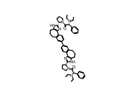 CCN(CC)[C@@H](C(=O)N1CCC[C@H]1c1nc2c([nH]1)CCCc1cc(-c3ccc4c(c3)CCCc3[nH]c([C@@H]5CCCN5C(=O)[C@@H](c5ccccc5)N(CC)CC)nc3-4)ccc1-2)c1ccccc1